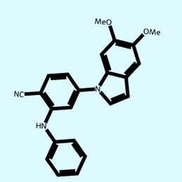 COc1cc2ccn(-c3ccc(C#N)c(Nc4ccccc4)c3)c2cc1OC